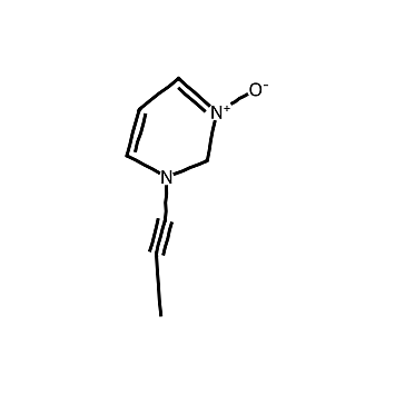 CC#CN1C=CC=[N+]([O-])C1